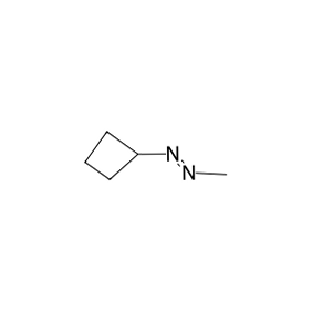 C/N=N/C1CCC1